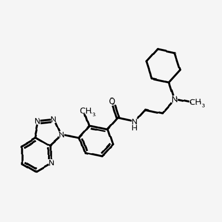 Cc1c(C(=O)NCCN(C)C2CCCCC2)cccc1-n1nnc2cccnc21